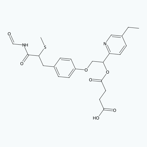 CCc1ccc(C(COc2ccc(CC(SC)C(=O)NC=O)cc2)OC(=O)CCC(=O)O)nc1